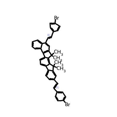 CC1(C)c2cc(/C=C/c3ccc(Br)cc3)ccc2-c2ccc3c(c21)C(C)(C)c1cc(/C=C/c2ccc(Br)cc2)c2ccccc2c1-3